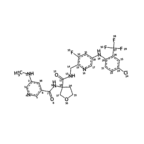 CNc1cncc(C(=O)NC2(C(=O)NCc3ncc(Nc4ccc(Cl)cc4C(F)(F)F)cc3F)CCOC2)c1